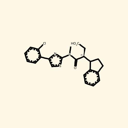 CN(C(=O)[C@@H](CC(=O)O)C1CCc2ccccc21)c1nc(-c2ccccc2Cl)cs1